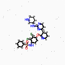 O=S(=O)(Nc1ccc(Oc2ncccc2-c2ccnc(N[C@H]3CCCNC3)n2)c(F)c1F)c1ccccc1